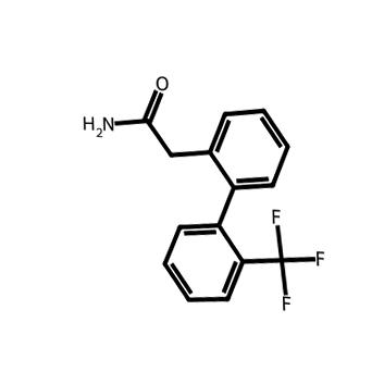 NC(=O)Cc1ccccc1-c1ccccc1C(F)(F)F